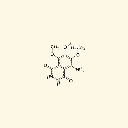 COc1c(OC)c(OC)c2c(=O)[nH][nH]c(=O)c2c1N